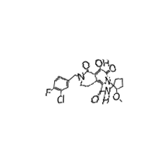 COC1CCCC12NC(=O)c1c3c(c(O)c(=O)n12)C(=O)N(Cc1ccc(F)c(Cl)c1)CC3